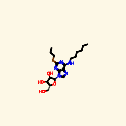 CCCCCCNc1nc(SCCC)nc2c1ncn2[C@@H]1O[C@H](CO)[C@@H](O)[C@H]1O